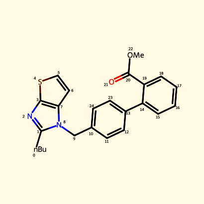 CCCCc1nc2sccc2n1Cc1ccc(-c2ccccc2C(=O)OC)cc1